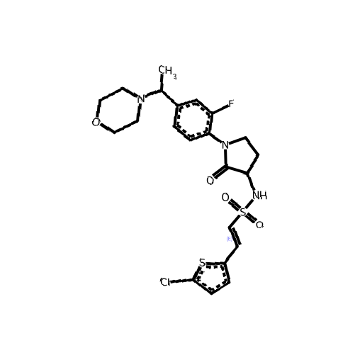 CC(c1ccc(N2CCC(NS(=O)(=O)/C=C/c3ccc(Cl)s3)C2=O)c(F)c1)N1CCOCC1